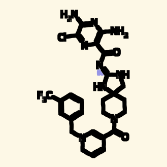 Nc1nc(N)c(C(=O)/N=C2\NCC3(CCN(C(=O)C4=CN(Cc5cccc(C(F)(F)F)c5)CC=C4)CC3)N2)nc1Cl